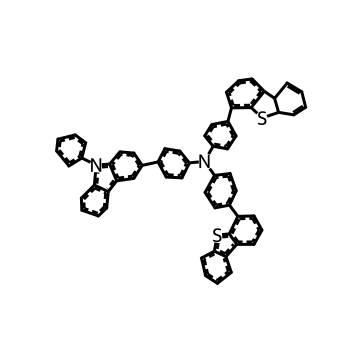 C1=CC2Sc3c(-c4ccc(N(c5ccc(-c6ccc7c(c6)c6ccccc6n7-c6ccccc6)cc5)c5ccc(-c6cccc7c6sc6ccccc67)cc5)cc4)cccc3C2C=C1